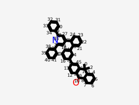 CC1(C)c2ccccc2C(=O)c2ccc(-c3cccc(-c4ccccc4-c4cc(-c5ccccc5)nc(-c5ccccc5)c4)c3)cc21